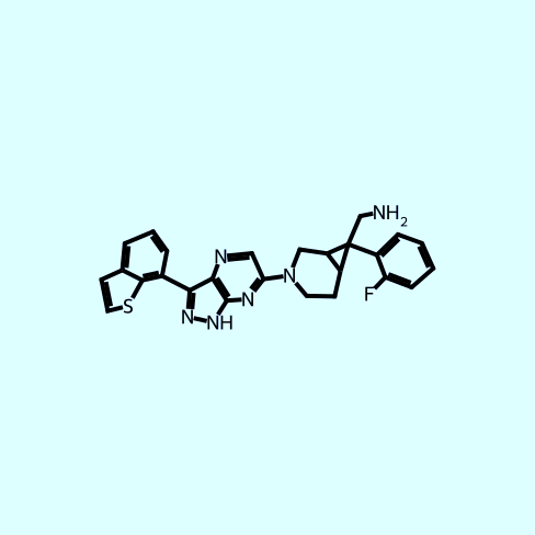 NCC1(c2ccccc2F)C2CCN(c3cnc4c(-c5cccc6ccsc56)n[nH]c4n3)CC21